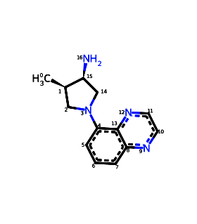 C[C@@H]1CN(c2cccc3nccnc23)C[C@@H]1N